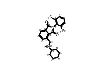 CC(C)c1cccc(C(C)C)c1N1C(=O)c2cccc(CNC3CCCCC3)c2C1=O